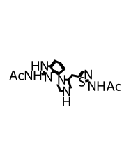 CC(=O)Nc1nc2c(N3CCNCC3Cc3cnc(NC(C)=O)s3)cccc2[nH]1